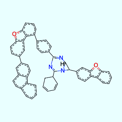 C1=CCC(C2=NC(c3ccc(-c4cccc5oc6ccc(-c7ccc8c(ccc9ccccc98)c7)cc6c45)cc3)=N[C@H]3C(c4ccc5c(c4)oc4ccccc45)N23)C=C1